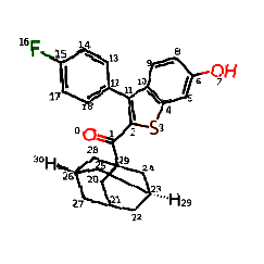 O=C(c1sc2cc(O)ccc2c1-c1ccc(F)cc1)C12CC3C[C@H](C1)C[C@H](C3)C2